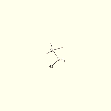 C[Si](C)(C)[SiH2][O]